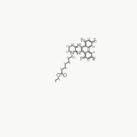 CCOC(=O)CCCCCCN1CCCc2nc(-c3ccc(F)cc3F)c(-c3ccc(F)cc3F)nc21